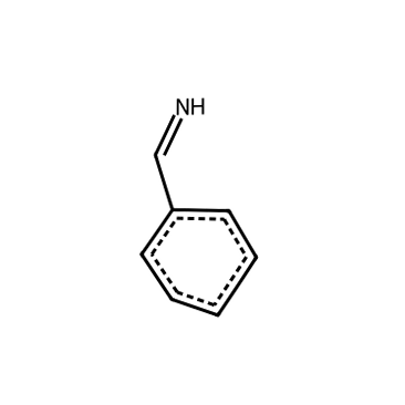 N=Cc1ccccc1